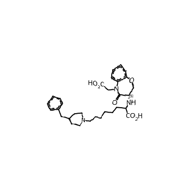 O=C(O)CN1C(=O)[C@@H](NC(CCCCCCN2CCC(Cc3ccccc3)CC2)C(=O)O)COc2ccccc21